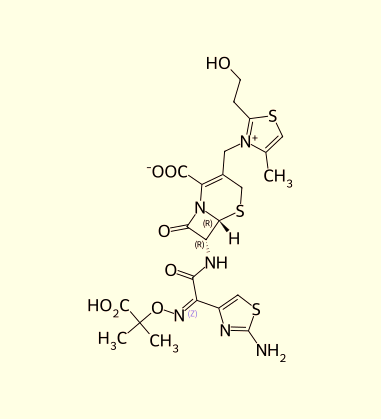 Cc1csc(CCO)[n+]1CC1=C(C(=O)[O-])N2C(=O)[C@@H](NC(=O)/C(=N\OC(C)(C)C(=O)O)c3csc(N)n3)[C@H]2SC1